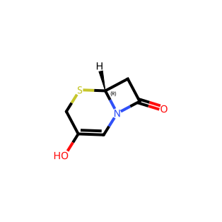 O=C1C[C@H]2SCC(O)=CN12